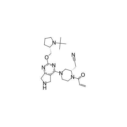 C=CC(=O)N1CCN(c2nc(OC[C@@H]3CCCN3C(C)(C)C)nc3c2CNC3)C[C@@H]1CC#N